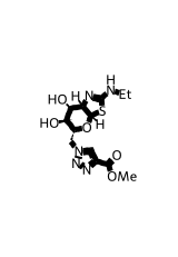 CCNC1=N[C@@H]2[C@@H](O)[C@H](O)[C@@H](Cn3cc(C(=O)OC)nn3)O[C@@H]2S1